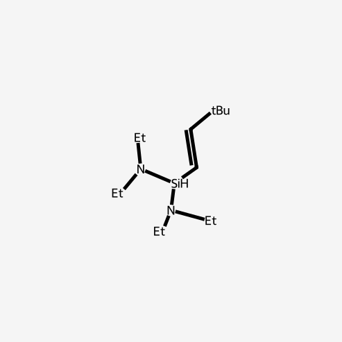 CCN(CC)[SiH](C=CC(C)(C)C)N(CC)CC